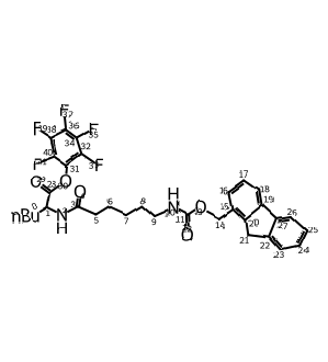 CCCCC(NC(=O)CCCCCNC(=O)OCc1cccc2c1Cc1ccccc1-2)C(=O)Oc1c(F)c(F)c(F)c(F)c1F